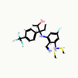 CCC(Nc1cc(F)cc(N(SC)SC)c1C=N)(c1ccc(C(F)(F)F)cc1)C(C)O